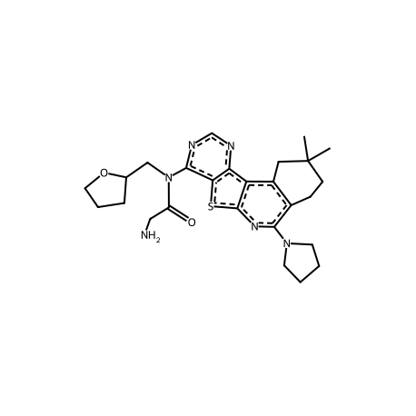 CC1(C)CCc2c(N3CCCC3)nc3sc4c(N(CC5CCCO5)C(=O)CN)ncnc4c3c2C1